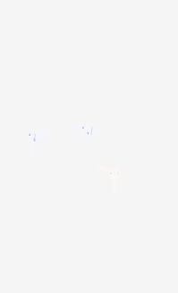 ClC1=C2Cc3ccccc3OC2NC(c2ccccc2)=N1